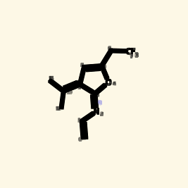 C=C/N=C1/OC(CC(F)(F)F)=CC1=C(C)C